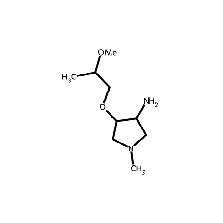 COC(C)COC1CN(C)CC1N